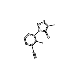 C#Cc1cccc(-n2nnn(C)c2=O)c1I